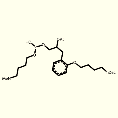 CCCCCCCCCCCCCCOc1ccccc1CC(COP(O)OCCCCNC)OC(C)=O